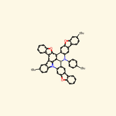 CC(C)(C)c1ccc(N2B3c4cc5c(cc4-n4c6ccc(C(C)(C)C)cc6c6c7c(oc8ccccc87)c(c3c64)-c3cc4oc6cc(C(C)(C)C)ccc6c4cc32)oc2ccccc25)cc1